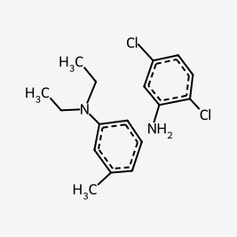 CCN(CC)c1cccc(C)c1.Nc1cc(Cl)ccc1Cl